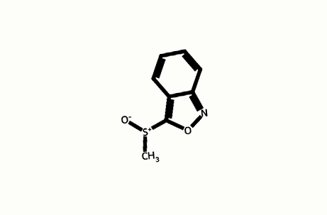 C[S+]([O-])c1onc2ccccc12